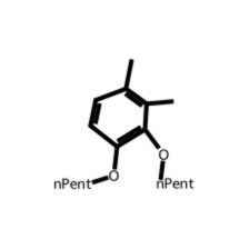 CCCCCOc1ccc(C)c(C)c1OCCCCC